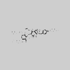 C=CCOc1c(CNC2=C(F)C(OC)CC(OC)=C2F)cnc2c1cnn2Cc1ccc(OC)cc1